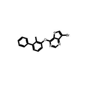 Cc1c(Oc2ncnc3c(Br)csc23)cccc1-c1ccccc1